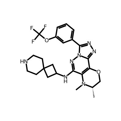 C[C@H]1COc2c(c(NC3CC4(CCNCC4)C3)nn3c(-c4cccc(OC(F)(F)F)c4)nnc23)N1C